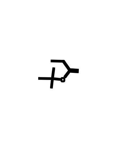 C=C(CC)OC(C)(C)C